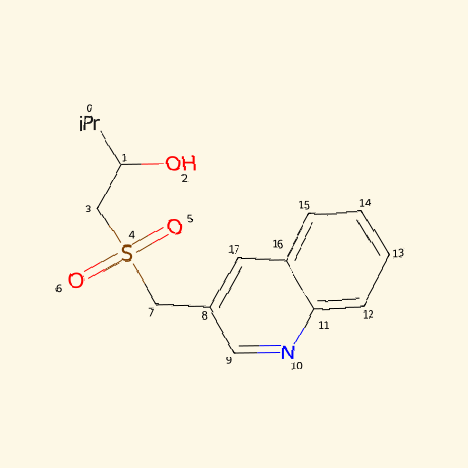 CC(C)C(O)CS(=O)(=O)Cc1cnc2ccccc2c1